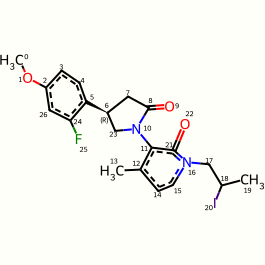 COc1ccc([C@H]2CC(=O)N(c3c(C)ccn(CC(C)I)c3=O)C2)c(F)c1